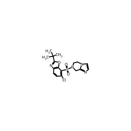 CC(C)(C)c1nc2ccc(Cl)c(S(=O)(=O)N3CCn4ccnc4C3)c2o1